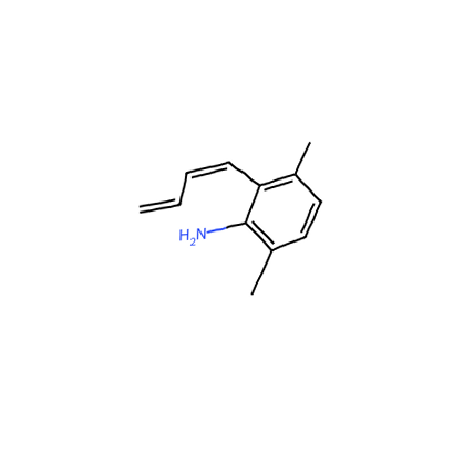 C=C/C=C\c1c(C)ccc(C)c1N